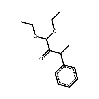 CCOC(OCC)C(=O)C(C)c1ccccc1